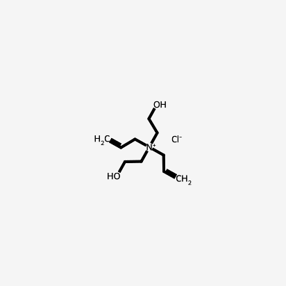 C=CC[N+](CC=C)(CCO)CCO.[Cl-]